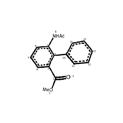 COC(=O)c1cccc(NC(C)=O)c1-c1ccccc1